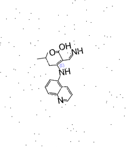 CC(C)C/C(Nc1cccc2ncccc12)=C(/C=N)C(=O)O